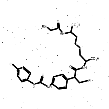 CC(C)CC(C(=O)NC(CCCCC(NC(=O)CC(C)(C)C)C(=O)O)C(=O)O)c1ccc(NC(=O)Nc2ccc(Cl)cc2)cc1